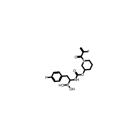 C=C(F)C(=O)N1CCCC(OC(=O)NC(Cc2ccc(F)cc2)B(O)O)C1